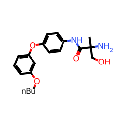 CCCCOc1cccc(Oc2ccc(NC(=O)C(C)(N)CO)cc2)c1